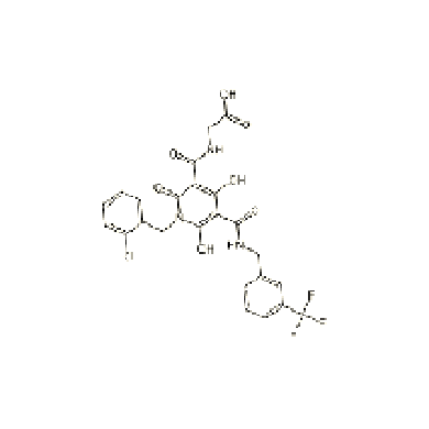 O=C(O)CNC(=O)c1c(O)c(C(=O)NCc2cccc(C(F)(F)F)c2)c(O)n(Cc2ccccc2Cl)c1=O